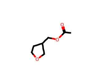 CC(=O)OCC1CCOC1